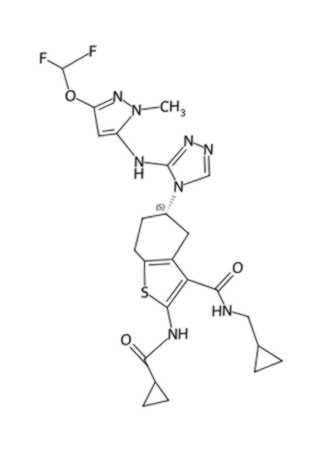 Cn1nc(OC(F)F)cc1Nc1nncn1[C@H]1CCc2sc(NC(=O)C3CC3)c(C(=O)NCC3CC3)c2C1